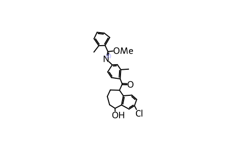 CO/C(=N\c1ccc(C(=O)C2CCCC(O)c3cc(Cl)ccc32)c(C)c1)c1ccccc1C